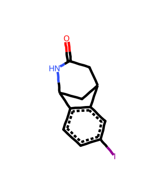 O=C1CC2CC(N1)c1ccc(I)cc12